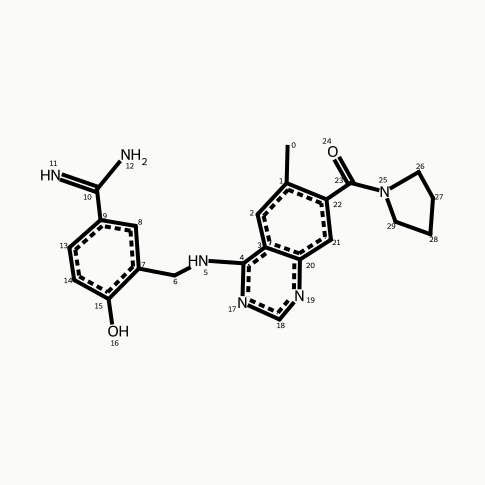 Cc1cc2c(NCc3cc(C(=N)N)ccc3O)ncnc2cc1C(=O)N1CCCC1